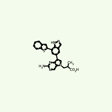 CC(Cn1cc(-c2cc(-c3cc4ccccc4s3)c3[nH]ncc3c2)c2nc(N)ncc21)C(=O)O